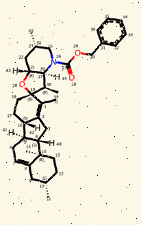 CC1=C2C[C@H]3[C@@H](CC=C4C[C@@H](C)CC[C@@]43C)[C@@H]2CC[C@]12O[C@@H]1C[C@H](C)CN(C(=O)OCc3ccccc3)[C@H]1[C@H]2C